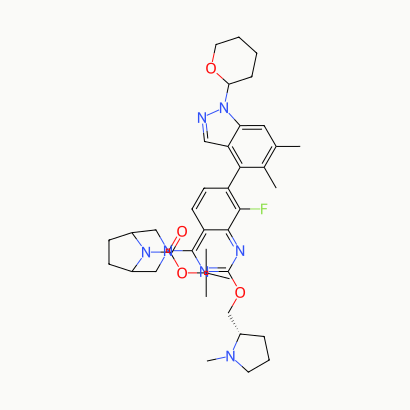 Cc1cc2c(cnn2C2CCCCO2)c(-c2ccc3c(N4CC5CCC(C4)N5C(=O)OC(C)(C)C)nc(OC[C@@H]4CCCN4C)nc3c2F)c1C